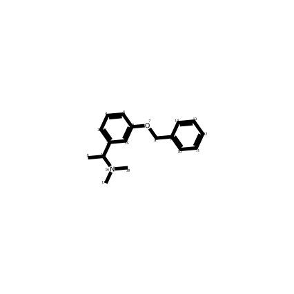 CC(c1cccc(OCc2ccccc2)c1)N(C)C